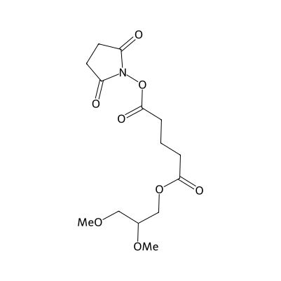 COCC(COC(=O)CCCC(=O)ON1C(=O)CCC1=O)OC